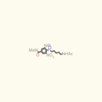 CNC(=O)c1cc([N+](=O)[O-])c(NCCCCCNC(C)=O)c([N+](=O)[O-])c1